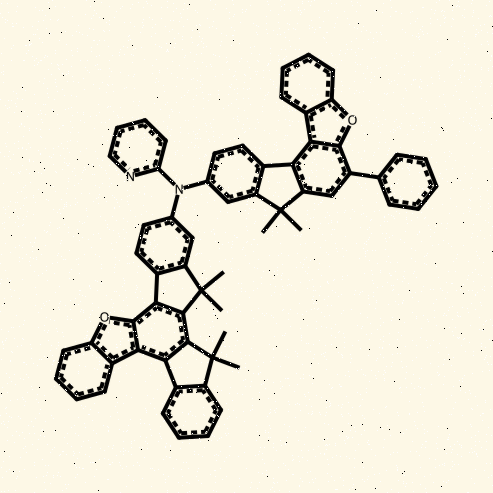 CC1(C)c2cc(N(c3ccc4c(c3)C(C)(C)c3c5c(c6c(oc7ccccc76)c3-4)-c3ccccc3C5(C)C)c3ccccn3)ccc2-c2c1cc(-c1ccccc1)c1oc3ccccc3c21